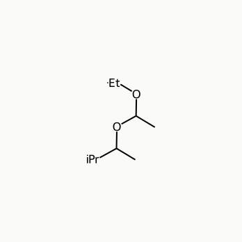 C[CH]OC(C)OC(C)C(C)C